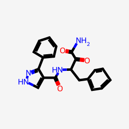 NC(=O)C(=O)C(Cc1ccccc1)NC(=O)c1c[nH]nc1-c1ccccc1